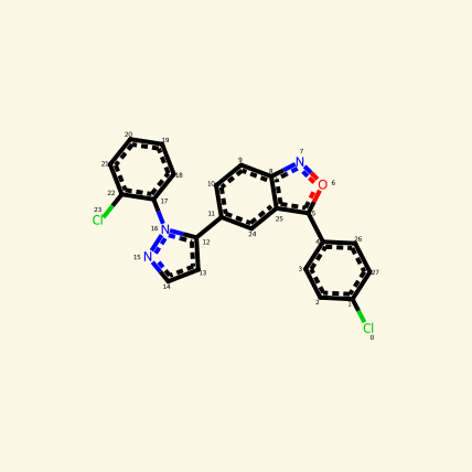 Clc1ccc(-c2onc3ccc(-c4ccnn4-c4ccccc4Cl)cc23)cc1